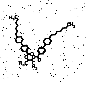 CCCCCCCC1CCC(c2ccc(C(=O)OC(C)C(C)OC(=O)c3ccc(C4CCC(CCCCCCC)CC4)cc3)cc2)CC1